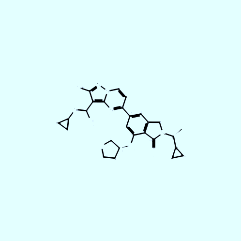 C[C@@H](C1CC1)N1Cc2cc(-c3ccn4nc(N)c(C(O)NC5CC5)c4n3)cc(O[C@H]3CCOC3)c2C1=O